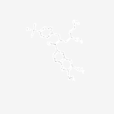 CCOC(C)CN(Cc1ccc(C(F)(F)F)cn1)C(=O)c1ccc2nc(N)c(C)cc2c1